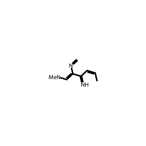 C=N/C(=C\NC)C(=N)/C=C\C